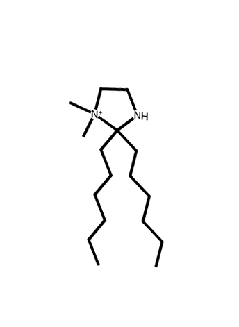 CCCCCCC1(CCCCCC)NCC[N+]1(C)C